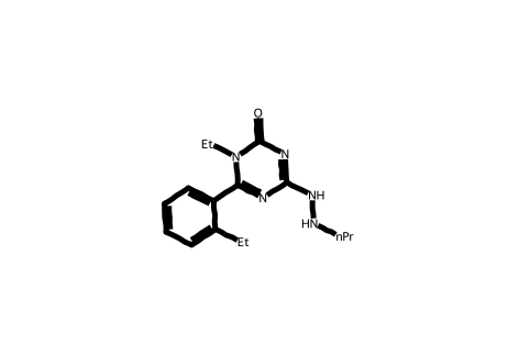 CCCNNc1nc(-c2ccccc2CC)n(CC)c(=O)n1